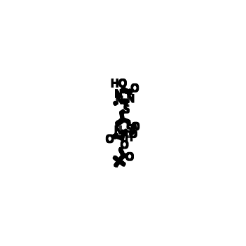 Cn1nc(O)c(=O)nc1SCC1=CN2C(=O)[C@H](OCC(=O)C(C)(C)C)[C@@H]2S(=O)(=O)C1